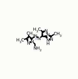 Cc1nn(CN)c(/N=N/c2c(C)nn3c(C)n[nH]c23)c1C